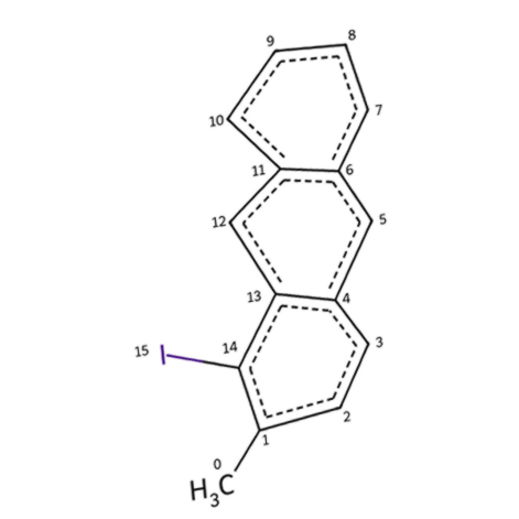 Cc1ccc2cc3ccccc3cc2c1I